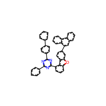 c1ccc(-c2ccc(-c3nc(-c4ccccc4)nc(-c4cccc5oc6cc(-c7cc8ccccc8c8ccccc78)ccc6c45)n3)cc2)cc1